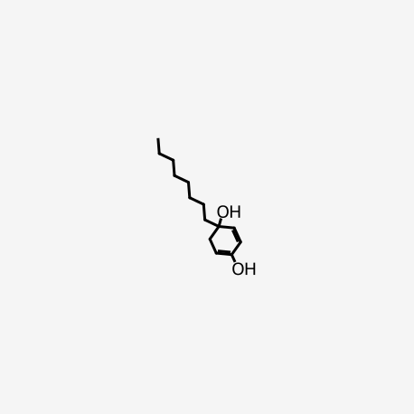 CCCCCCCCC1(O)C=CC(O)=CC1